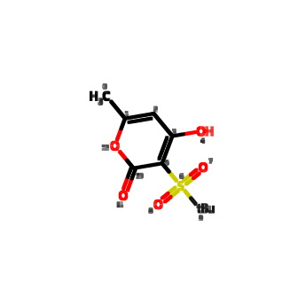 Cc1cc(O)c(S(=O)(=O)C(C)(C)C)c(=O)o1